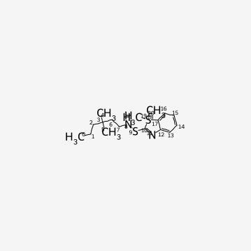 CCCC(C)(C)CCNSC1=Nc2ccccc2S1(C)C